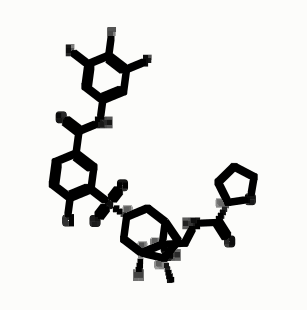 C[C@H]1CC2C[C@@H](S(=O)(=O)c3cc(C(=O)Nc4cc(F)c(F)c(F)c4)ccc3Cl)C[C@H]1[C@@]2(O)CNC(=O)[C@@H]1CCCO1